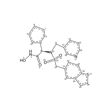 O=C(NO)[C@@H](c1ccccc1)N(Cc1cccnc1)S(=O)(=O)Cc1ccc2sccc2c1